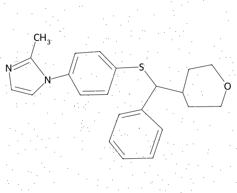 Cc1nccn1-c1ccc(SC(c2ccccc2)C2CCOCC2)cc1